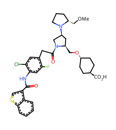 COC[C@H]1CCCN1[C@H]1C[C@@H](CO[C@H]2CC[C@H](C(=O)O)CC2)N(C(=O)Cc2cc(Cl)c(NC(=O)c3csc4ccccc34)cc2F)C1